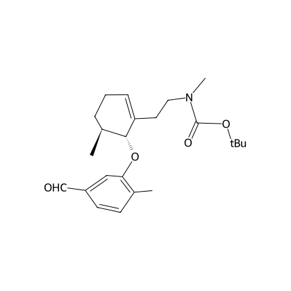 Cc1ccc(C=O)cc1O[C@H]1C(CCN(C)C(=O)OC(C)(C)C)=CCC[C@@H]1C